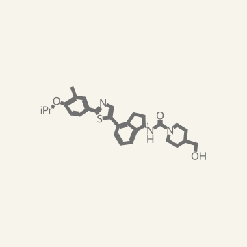 Cc1cc(-c2ncc(-c3cccc4c3CC[C@@H]4NC(=O)N3CCC(CO)CC3)s2)ccc1OC(C)C